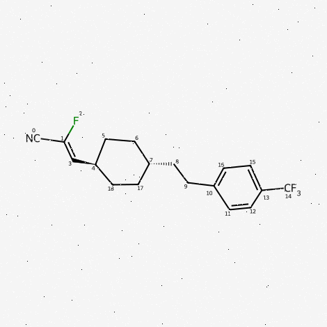 N#CC(F)=C[C@H]1CC[C@H](CCc2ccc(C(F)(F)F)cc2)CC1